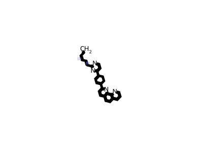 C=C/C=C\C=C\c1nccc(C2=CC=C(c3ccc4ccc5cccnc5c4n3)CC2)n1